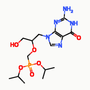 CC(C)OP(=O)(COC(CO)Cn1cnc2c(=O)[nH]c(N)nc21)OC(C)C